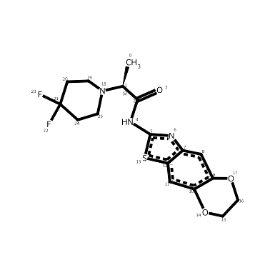 C[C@@H](C(=O)Nc1nc2cc3c(cc2s1)OCCO3)N1CCC(F)(F)CC1